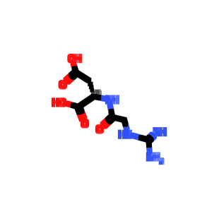 N=C(N)NCC(=O)N[C@@H](CC(=O)O)C(=O)O